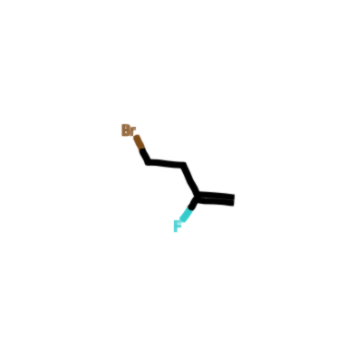 C=C(F)CCBr